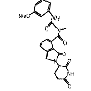 COc1cccc(NC(=O)N(C)C(=O)c2cccc3c2C(=O)N(C2CCC(=O)NC2=O)C3)c1